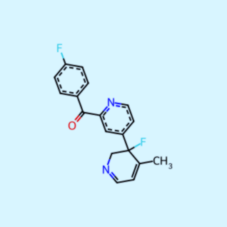 CC1=CC=NCC1(F)c1ccnc(C(=O)c2ccc(F)cc2)c1